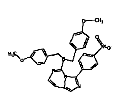 COc1ccc(CN(Cc2ccc(OC)cc2)c2nccc3cnc(-c4ccc([N+](=O)[O-])cc4)n23)cc1